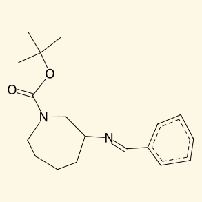 CC(C)(C)OC(=O)N1CCCCC(N=Cc2ccccc2)C1